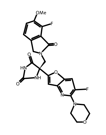 COc1ccc2c(c1F)C(=O)N(C[C@@]1(c3cc4nc(N5CCOCC5)c(F)cc4o3)NC(=O)NC1=O)C2